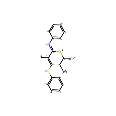 CCCC(CC(C)C)SC(=N\c1ccccc1)/C(C)=C/Sc1ccccc1